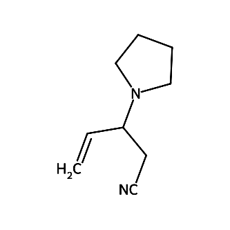 C=CC(CC#N)N1CCCC1